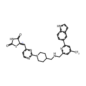 O=C1NC(=O)/C(=C/c2ccnc(N3CCC(CNCc4cc(C(F)(F)F)cc(-c5ccc6[nH]ccc6c5)n4)CC3)n2)S1